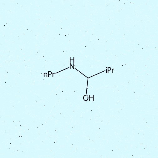 CCCNC(O)C(C)C